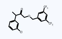 CC(C(=O)COCc1cc(C(F)(F)F)cc(C(F)(F)F)c1)c1cccc(Cl)c1